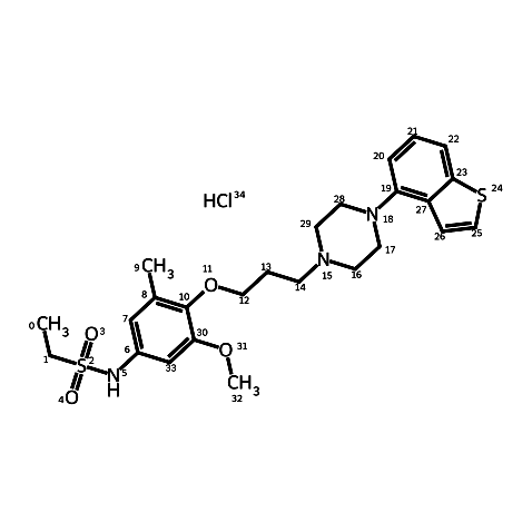 CCS(=O)(=O)Nc1cc(C)c(OCCCN2CCN(c3cccc4sccc34)CC2)c(OC)c1.Cl